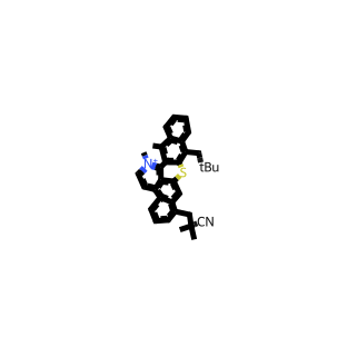 Cc1c2c(c(CC(C)(C)C)c3ccccc13)Sc1cc3c(CC(C)(C)C#N)cccc3c3cc[n+](C)c-2c13